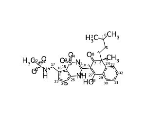 CC(C)CC[C@@]1(C)C(=O)C(C2=NS(=O)(=O)c3c(CNS(C)(=O)=O)csc3N2)=C(O)c2ccccc21